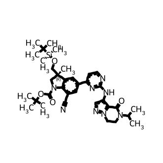 CC(C)N1CCn2ncc(Nc3nccc(-c4cc(C#N)c5c(c4)[C@@](C)(CO[Si](C)(C)C(C)(C)C)CN5C(=O)OC(C)(C)C)n3)c2C1=O